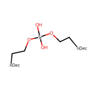 CCCCCCCCCCCCO[Si](O)(O)OCCCCCCCCCCCC